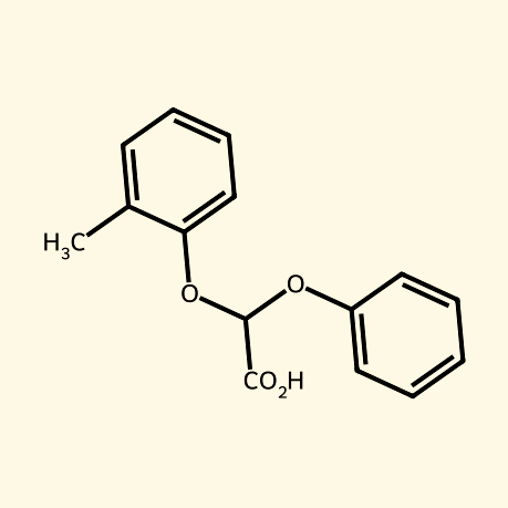 Cc1ccccc1OC(Oc1ccccc1)C(=O)O